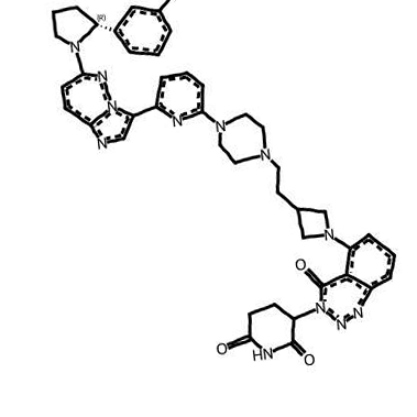 O=C1CCC(n2nnc3cccc(N4CC(CCN5CCN(c6cccc(-c7cnc8ccc(N9CCC[C@@H]9c9cccc(F)c9)nn78)n6)CC5)C4)c3c2=O)C(=O)N1